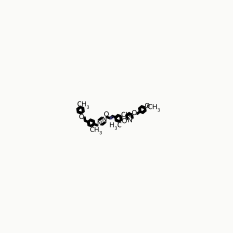 COc1ccc(COc2ccc(Oc3c(C)cc(/C=C/C(=O)N4CCN(Cc5ccc(CCOc6ccc(C)cc6)cc5C)CC4)cc3C)nc2)cc1